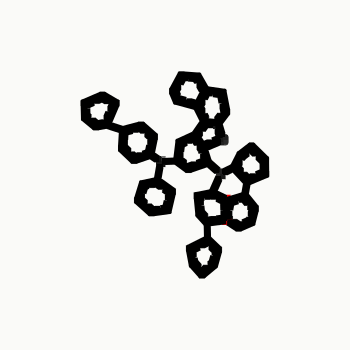 c1ccc(-c2ccc(N(c3ccccc3)c3cc(N(c4ccc(-c5ccccc5)cc4)c4ccccc4-c4ccccc4)c4oc5ccc6ccccc6c5c4c3)cc2)cc1